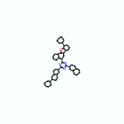 c1ccc(-c2ccc3cc(-c4nc(-c5ccc6ccccc6c5)nc(-c5cc6c7cccc(-c8ccccc8)c7oc6c6ccccc56)n4)ccc3c2)cc1